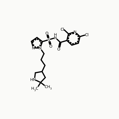 CC1(C)CC(CCCn2nccc2S(=O)(=O)NC(=O)c2ccc(Cl)nc2Cl)CN1